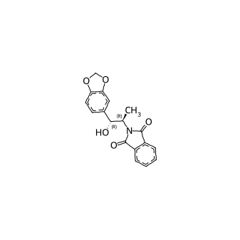 C[C@H]([C@H](O)c1ccc2c(c1)OCO2)N1C(=O)c2ccccc2C1=O